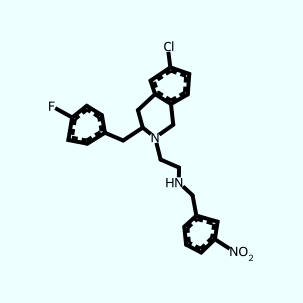 O=[N+]([O-])c1cccc(CNCCN2Cc3ccc(Cl)cc3CC2Cc2ccc(F)cc2)c1